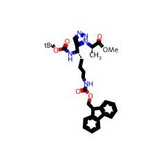 COC(=O)[C@H](C)n1nncc1[C@H](CCCCNC(=O)OCC1c2ccccc2-c2ccccc21)NC(=O)OC(C)(C)C